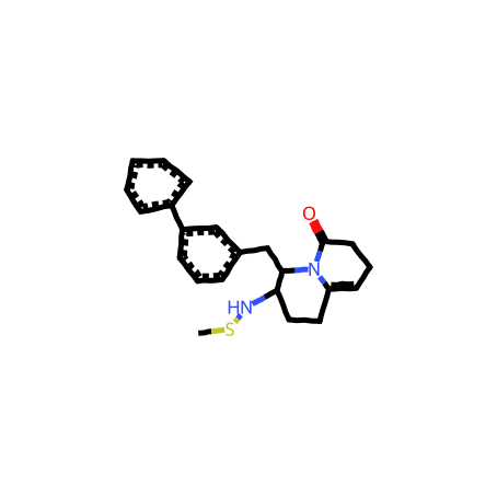 CSNC1CCC2=CCCC(=O)N2C1Cc1cccc(-c2ccccc2)c1